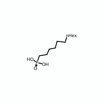 CCCCCCCCCCCCP(=O)(O)O